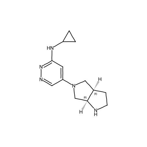 c1nnc(NC2CC2)cc1N1C[C@H]2CCN[C@H]2C1